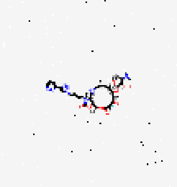 CCO[C@@H](O[C@@H]1[C@@H](C)C(=O)C(C)(F)C(=O)O[C@H](CC)[C@@]2(C)OC(=O)N(CCCCn3cc(-c4cccnn4)nn3)[C@@H]2[C@@H](C)NC[C@H](C)C[C@@]1(C)OC)C(O)C(CC)N(C)C